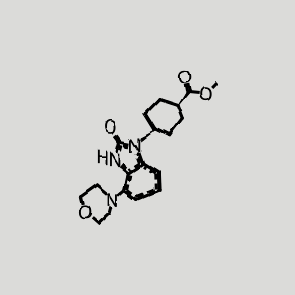 COC(=O)[C@H]1CC[C@@H](n2c(=O)[nH]c3c(N4CCOCC4)cccc32)CC1